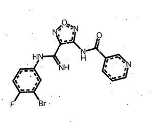 N=C(Nc1ccc(F)c(Br)c1)c1nonc1NC(=O)c1cccnc1